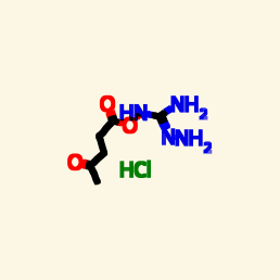 CC(=O)CCC(=O)ONC(N)=NN.Cl